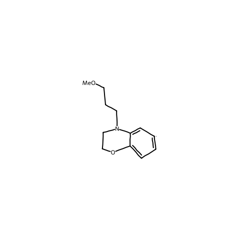 COCCCN1CCOc2cc[c]cc21